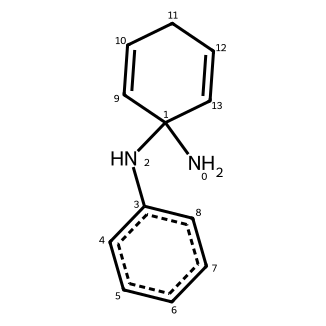 NC1(Nc2ccccc2)C=CCC=C1